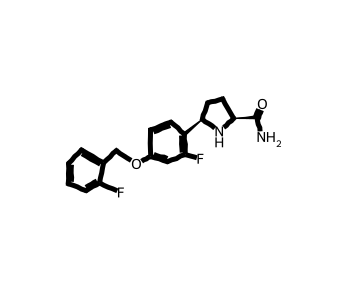 NC(=O)[C@@H]1CC[C@H](c2ccc(OCc3ccccc3F)cc2F)N1